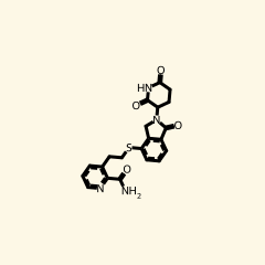 NC(=O)c1ncccc1CCSc1cccc2c1CN(C1CCC(=O)NC1=O)C2=O